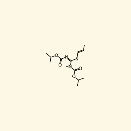 CC=CSC(=NC(=O)OC(C)C)NC(=O)OC(C)C